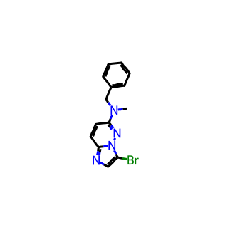 CN(Cc1ccccc1)c1ccc2ncc(Br)n2n1